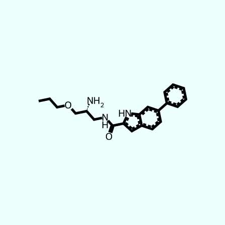 CCCOC[C@H](N)CNC(=O)c1cc2ccc(-c3ccccc3)cc2[nH]1